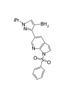 Bc1cn(C(C)C)nc1-c1cnc2c(ccn2S(=O)(=O)c2ccccc2)c1